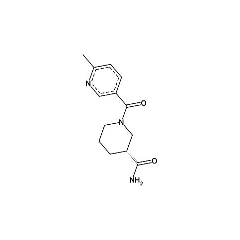 Cc1ccc(C(=O)N2CCC[C@@H](C(N)=O)C2)cn1